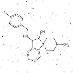 CN1CCC2(CC1)c1ccccc1C(NCc1ccc(F)cc1)C2O